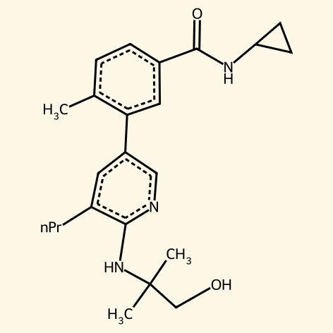 CCCc1cc(-c2cc(C(=O)NC3CC3)ccc2C)cnc1NC(C)(C)CO